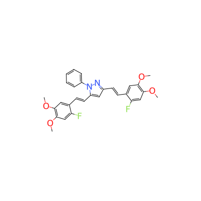 COc1cc(F)c(C=Cc2cc(C=Cc3cc(OC)c(OC)cc3F)n(-c3ccccc3)n2)cc1OC